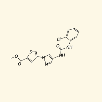 COC(=O)c1cc(-n2cc(NC(=O)Nc3ccccc3Cl)cn2)cs1